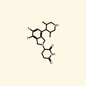 CC1CNCC(C)C1c1cc(F)c(F)c2c1CN(C1CCC(=O)NC1=O)C2